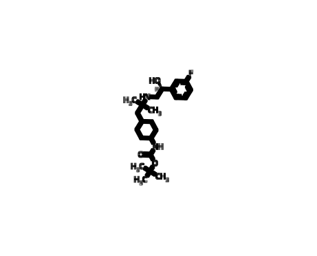 CC(C)(CC1CCC(NC(=O)OC(C)(C)C)CC1)NC[C@H](O)c1cccc(F)c1